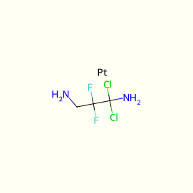 NCC(F)(F)C(N)(Cl)Cl.[Pt]